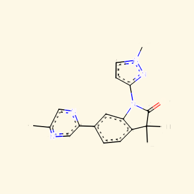 Cc1cnc(-c2ccc3c(c2)N(c2ccn(C)n2)C(=O)C3(C)C)cn1